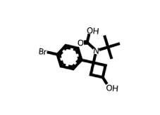 CC(C)(C)N(C(=O)O)C1(c2ccc(Br)cc2)CC(O)C1